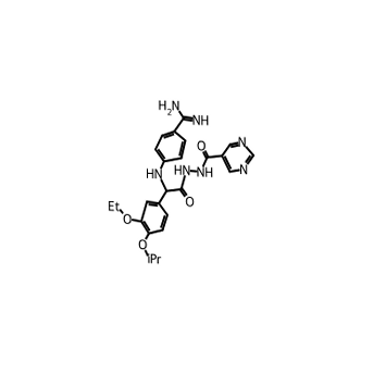 CCOc1cc(C(Nc2ccc(C(=N)N)cc2)C(=O)NNC(=O)c2cncnc2)ccc1OC(C)C